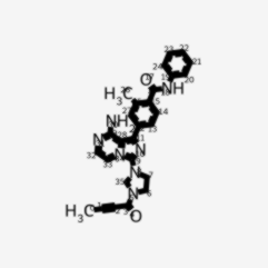 CC#CC(=O)N1CCN(c2nc(-c3ccc(C(=O)Nc4ccccc4)c(C)c3)c3c(N)nccn23)C1